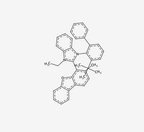 CC[n+]1c(-c2c(C)ccc3c2oc2ccccc23)n(-c2c(-c3ccccc3)cccc2C(C)(C)C)c2ccccc21